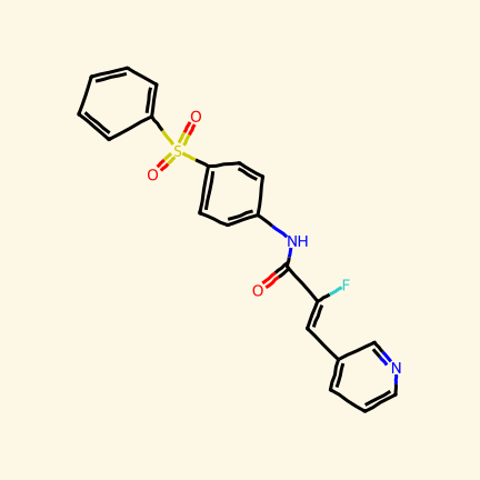 O=C(Nc1ccc(S(=O)(=O)c2ccccc2)cc1)C(F)=Cc1cccnc1